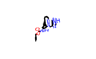 CC#CCOC(=O)Nc1ccc2c(c1)N(Cc1c[nH]cn1)CCC2